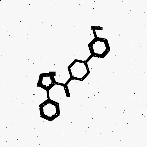 CC(=O)Nc1cccc(N2CCN(C(=O)c3[nH]cnc3-c3ccccc3)CC2)c1